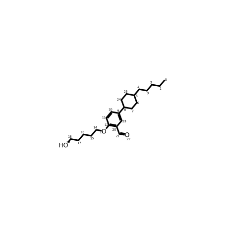 CCCCCC1CCC(c2ccc(OCCCCCO)c(C=O)c2)CC1